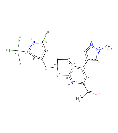 CC(=O)c1cc(-c2cnn(C)c2)c2ccc(Cc3cc(Cl)nc(C(F)(F)F)c3)cc2n1